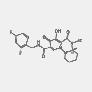 CCN1C(=O)c2c(O)c(=O)c(C(=O)NCc3ccc(F)cc3F)cn2N2CCCC[C@@]12C